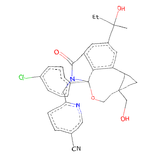 CCC(C)(O)c1cc2c3c(c1)C1CC1(CO)CO[C@@]3(c1ccc(Cl)cc1)N(Cc1ccc(C#N)cn1)C2=O